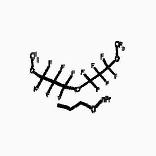 C=CCOCCC.FC(F)(F)OC(F)(F)C(F)(F)C(F)(F)OC(F)(F)C(F)(F)C(F)(F)OC(F)(F)F